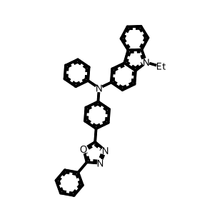 CCn1c2ccccc2c2cc(N(c3ccccc3)c3ccc(-c4nnc(-c5ccccc5)o4)cc3)ccc21